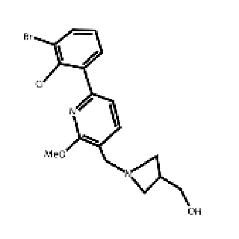 COc1nc(-c2cccc(Br)c2Cl)ccc1CN1CC(CO)C1